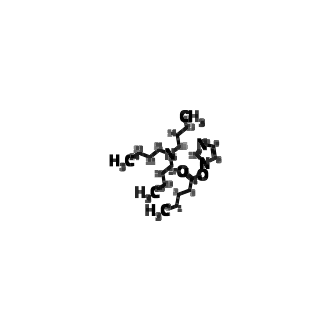 CCCCC(=O)On1ccnc1.CCCCN(CCCC)CCCC